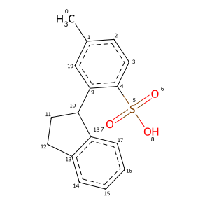 Cc1ccc(S(=O)(=O)O)c(C2CCc3ccccc32)c1